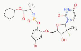 C[C@H](/N=[P+](\[O-])Oc1ccc(Br)cc1OC[C@H]1O[C@@H](n2ccc(=O)[nH]c2=O)[C@](C)(F)[C@@H]1O)C(=O)OC1CCCCC1